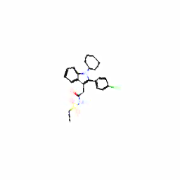 CCS(=O)(=O)NC(=O)Cc1c(-c2ccc(Cl)cc2)n(C2CCCCC2)c2ccccc12